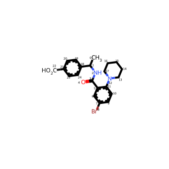 CC(NC(=O)c1cc(Br)ccc1N1CCCCC1)c1ccc(C(=O)O)cc1